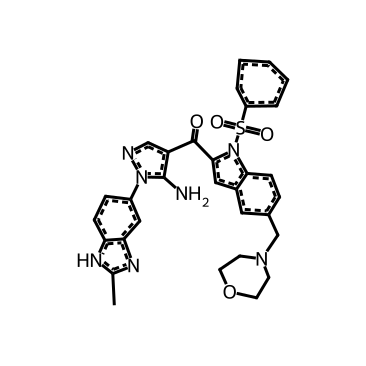 Cc1nc2cc(-n3ncc(C(=O)c4cc5cc(CN6CCOCC6)ccc5n4S(=O)(=O)c4ccccc4)c3N)ccc2[nH]1